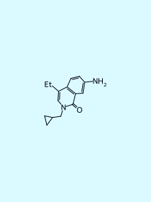 CCc1cn(CC2CC2)c(=O)c2cc(N)ccc12